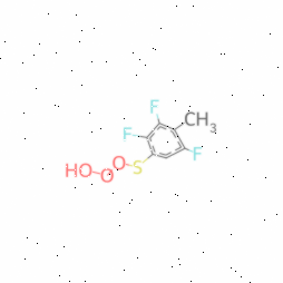 Cc1c(F)cc(SOOO)c(F)c1F